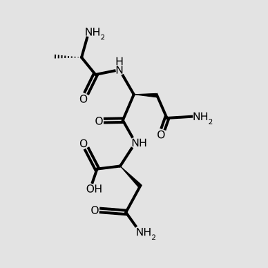 C[C@H](N)C(=O)N[C@@H](CC(N)=O)C(=O)N[C@@H](CC(N)=O)C(=O)O